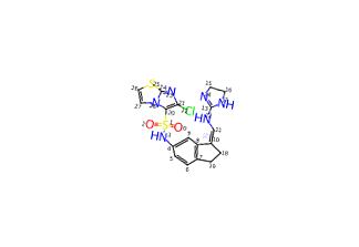 O=S(=O)(Nc1ccc2c(c1)/C(=C\NC1=NCCN1)CC2)c1c(Cl)nc2sccn12